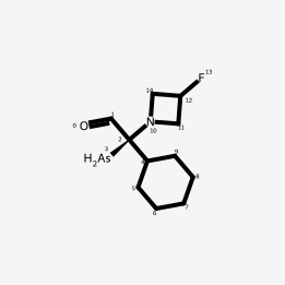 O=C[C@@]([AsH2])(C1CCCCC1)N1CC(F)C1